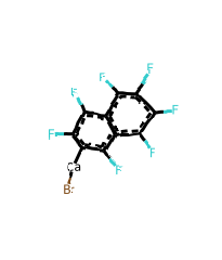 Fc1c(F)c(F)c2c(F)[c]([Ca][Br])c(F)c(F)c2c1F